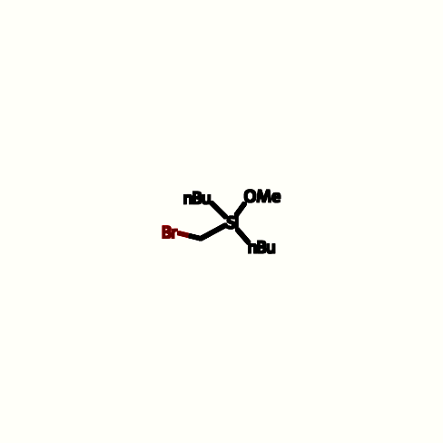 CCCC[Si](CBr)(CCCC)OC